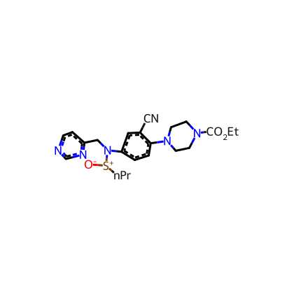 CCC[S+]([O-])N(Cc1ccncn1)c1ccc(N2CCN(C(=O)OCC)CC2)c(C#N)c1